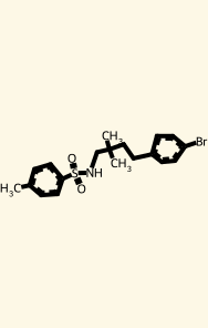 Cc1ccc(S(=O)(=O)NCC(C)(C)CCc2ccc(Br)cc2)cc1